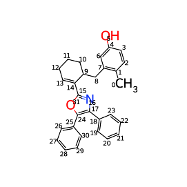 Cc1ccc(O)cc1CC1CCCC=C1c1nc(-c2ccccc2)c(-c2ccccc2)o1